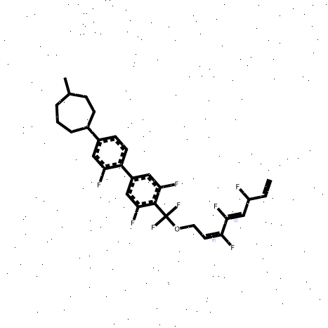 C=CC(F)/C=C(F)/C(F)=C\COC(F)(F)c1c(F)cc(-c2ccc(C3CCCC(C)CC3)cc2F)cc1F